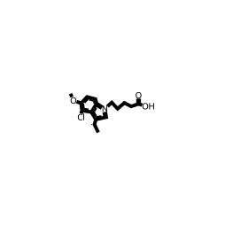 C[CH]c1cn(CCCCC(=O)O)c2ccc(OC)c(Cl)c12